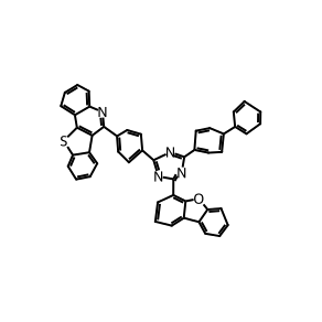 c1ccc(-c2ccc(-c3nc(-c4ccc(-c5nc6ccccc6c6sc7ccccc7c56)cc4)nc(-c4cccc5c4oc4ccccc45)n3)cc2)cc1